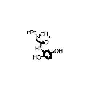 CCCN(C)CC(=O)Nc1cc(O)ccc1O